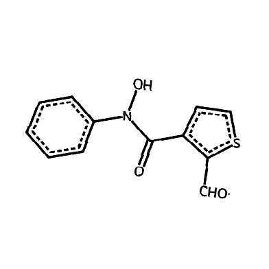 O=[C]c1sccc1C(=O)N(O)c1ccccc1